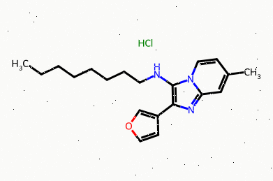 CCCCCCCCNc1c(-c2ccoc2)nc2cc(C)ccn12.Cl